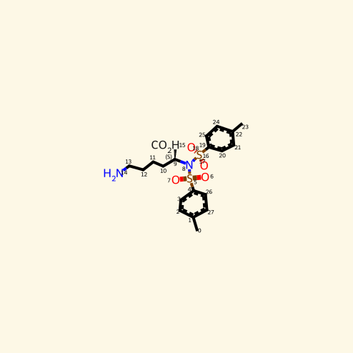 Cc1ccc(S(=O)(=O)N([C@@H](CCCCN)C(=O)O)S(=O)(=O)c2ccc(C)cc2)cc1